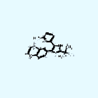 Cc1cccc(-c2[nH]c(C(C)(C)C)nc2-c2ccc3c(c2)NC=CO3)n1